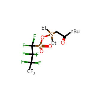 CCCCC(=O)CS(CC)(CC)OS(=O)(=O)C(F)(F)C(F)(F)C(F)(F)C(F)(F)F